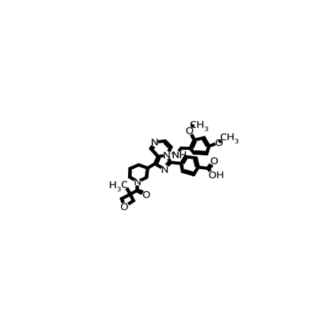 COc1ccc(CN[N+]23C=CN=CC2=C(C2CCCN(C(=O)C4(C)COC4)C2)N=C3c2ccc(C(=O)O)cc2)c(OC)c1